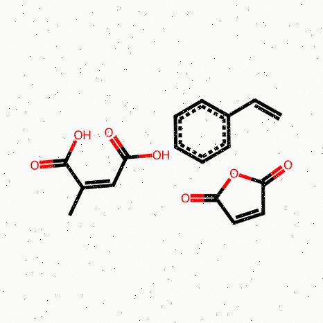 C=Cc1ccccc1.CC(=CC(=O)O)C(=O)O.O=C1C=CC(=O)O1